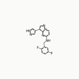 Fc1ccc(F)c(CNc2ccn3ncc(-c4cn[nH]c4)c3n2)c1